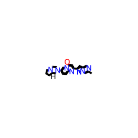 Cc1cn2nc(-c3cc(=O)n4cc(N5CCN6CCC[C@@H]6C5)ccc4n3)cc2cn1